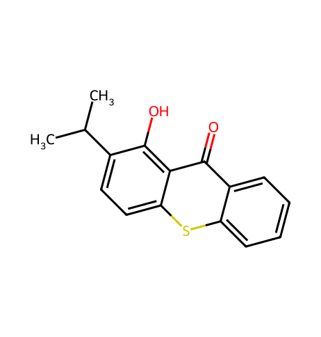 CC(C)c1ccc2sc3ccccc3c(=O)c2c1O